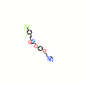 Fc1cc(C(F)(F)F)ccc1/C=C/c1nc(COc2ccc(OCCCn3ccnn3)cc2)co1